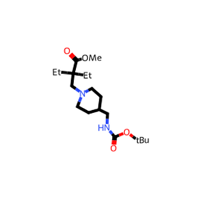 CCC(CC)(CN1CCC(CNC(=O)OC(C)(C)C)CC1)C(=O)OC